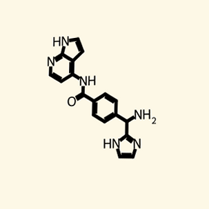 NC(c1ccc(C(=O)Nc2ccnc3[nH]ccc23)cc1)c1ncc[nH]1